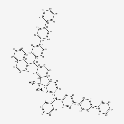 CC1(C)c2cc(N(c3ccccc3)c3ccc(-c4ccc(-c5ccccc5)cc4)cc3)ccc2-c2ccc(N(c3ccc(-c4ccc(-c5ccccc5)cc4)cc3)c3cccc4ccccc34)cc21